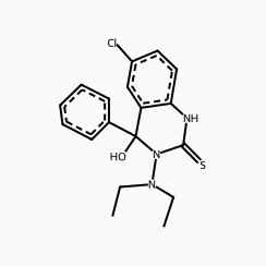 CCN(CC)N1C(=S)Nc2ccc(Cl)cc2C1(O)c1ccccc1